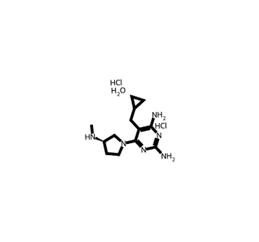 CN[C@@H]1CCN(c2nc(N)nc(N)c2CC2CC2)C1.Cl.Cl.O